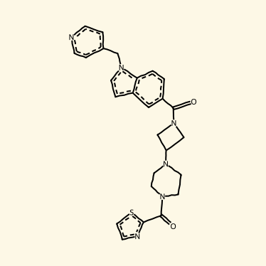 O=C(c1ccc2c(ccn2Cc2ccncc2)c1)N1CC(N2CCN(C(=O)c3nccs3)CC2)C1